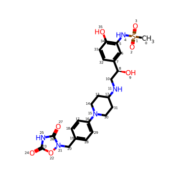 CS(=O)(=O)Nc1cc([C@@H](O)CNC2CCN(c3ccc(Cn4oc(=O)[nH]c4=O)cc3)CC2)ccc1O